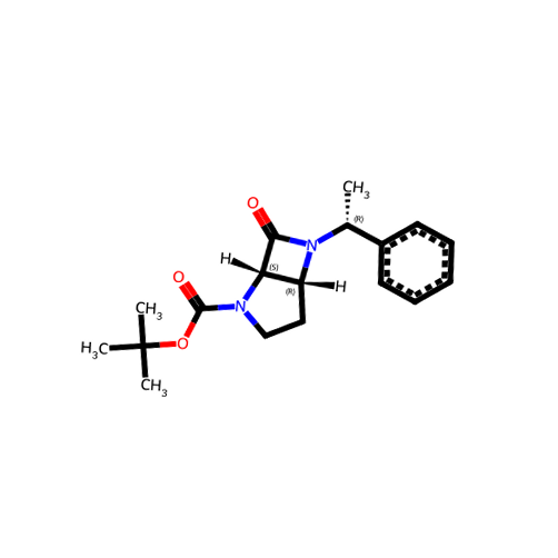 C[C@H](c1ccccc1)N1C(=O)[C@@H]2[C@H]1CCN2C(=O)OC(C)(C)C